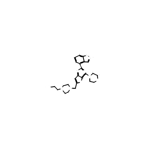 OCCN1CCN(Cc2cc3nc(-c4cccc5[nH]ncc45)nc(N4CCOCC4)c3s2)CC1